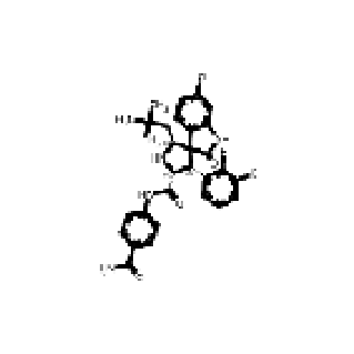 CC(C)(C)C[C@@H]1N[C@@H](C(=O)Nc2ccc(C(N)=O)cc2)[C@@H](c2cccc(Cl)c2F)C12C(=O)Nc1cc(Cl)ccc12